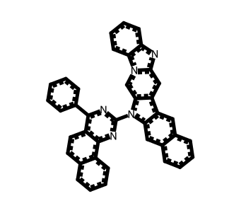 c1ccc(-c2nc(-n3c4cc5ccccc5cc4c4cc5nc6ccccc6n5cc43)nc3c2ccc2ccccc23)cc1